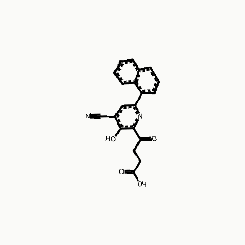 N#Cc1cc(-c2cccc3ccccc23)nc(C(=O)CCC(=O)O)c1O